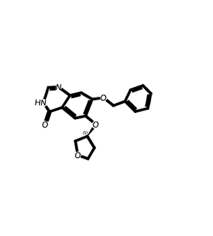 O=c1[nH]cnc2cc(OCc3ccccc3)c(O[C@H]3CCOC3)cc12